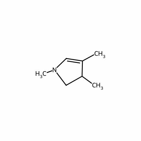 CC1=CN(C)CC1C